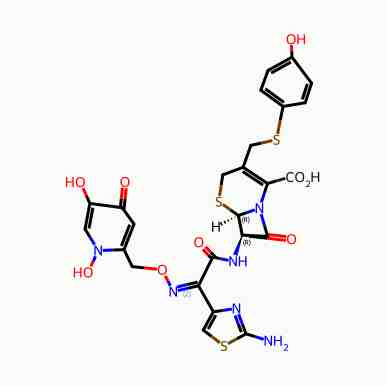 Nc1nc(/C(=N/OCc2cc(=O)c(O)cn2O)C(=O)N[C@@H]2C(=O)N3C(C(=O)O)=C(CSc4ccc(O)cc4)CS[C@H]23)cs1